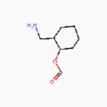 NCC1CCCCC1OC=O